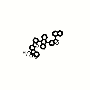 CC1(C)c2ccccc2-c2c1ccc1c2oc2c(-c3c4ccccc4c(-c4ccc5c(c4)C(c4cccc6ccccc46)CO5)c4ccccc34)cccc21